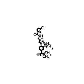 CN(C)C(=N)c1ccc(-c2cc(CNC(=O)c3ccc(Cl)s3)on2)c(N(C)C)c1